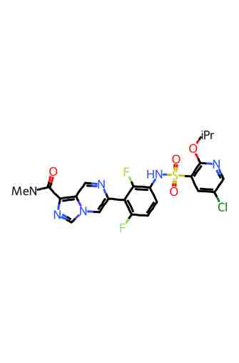 CNC(=O)c1ncn2cc(-c3c(F)ccc(NS(=O)(=O)c4cc(Cl)cnc4OC(C)C)c3F)ncc12